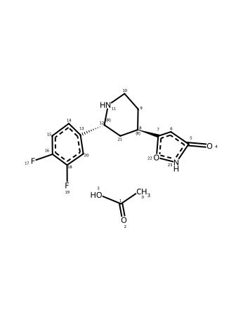 CC(=O)O.O=c1cc([C@@H]2CCN[C@@H](c3ccc(F)c(F)c3)C2)o[nH]1